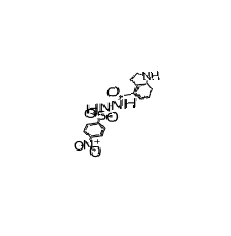 O=C(NNS(=O)(=O)c1ccc([N+](=O)[O-])cc1)c1cccc2c1CCN2